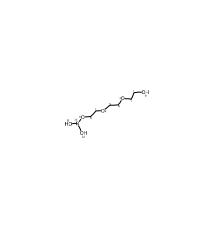 OCCOCCOCCOB(O)O